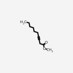 [CH2]CCCCCC#CCC(=O)OC